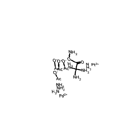 CC(=O)[O-].CC(=O)[O-].CC(=O)[O-].CC(=O)[O-].N.N.N.N.NOC(=O)C(N)(N)N.[Pd+2].[Pt+2]